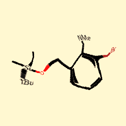 CNc1c(Br)cccc1CO[Si](C)(C)C(C)(C)C